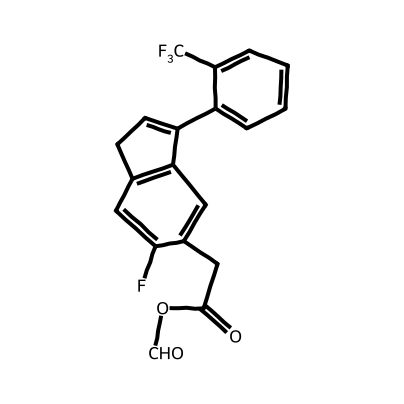 O=COC(=O)Cc1cc2c(cc1F)CC=C2c1ccccc1C(F)(F)F